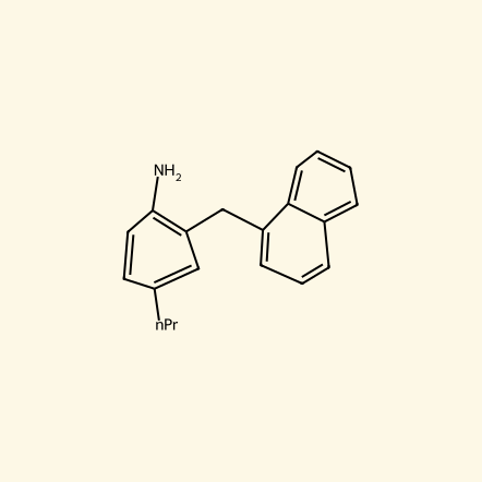 CCCc1ccc(N)c(Cc2cccc3ccccc23)c1